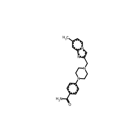 Cc1ccn2cc(CN3CCN(c4ccc(C(N)=O)cc4)CC3)nc2c1